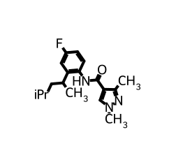 Cc1nn(C)cc1C(=O)Nc1ccc(F)cc1C(C)CC(C)C